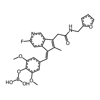 COc1cc(/C=C2/C(C)=C(CC(=O)NCc3ccco3)c3cnc(F)cc32)cc(OC)c1OB(O)O